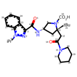 CC(C)n1nc(C(=O)N[C@@H]2CN(C(=O)O)[C@@](CC(=O)N3CCCCC3)(C(C)(C)C)C2)c2ccccc21